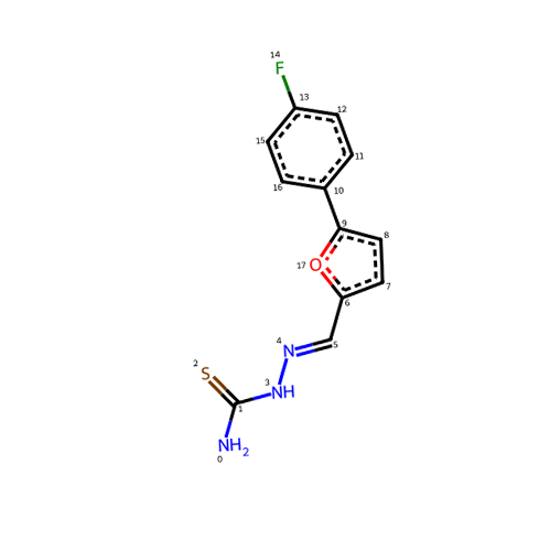 NC(=S)NN=Cc1ccc(-c2ccc(F)cc2)o1